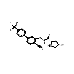 N#Cc1cnc(-c2ccc(C(F)(F)F)nc2)cc1CNC(=O)[C@@H]1C[C@@H](F)CN1